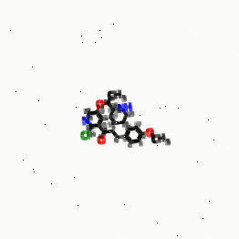 COc1ccc(CCC(=O)c2cc(OC(C)[C@@H]3CCCCN3)cnc2Cl)cc1